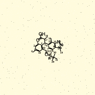 Cc1ccc(C(c2ccc3c(nnn3C)c2C)C(C)C(=O)O)c(CO[Si](C)(C)C(C)(C)C)c1